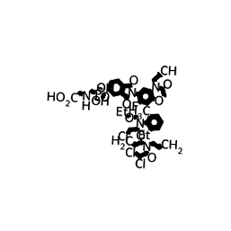 C#CCN1C(=O)COc2cc(F)c(N3C(=O)C4=C(CCCC4)C3=O)cc21.C=CCN(CC=C)C(=O)C(Cl)Cl.CCOCN(C(=O)CCl)c1c(C)cccc1CC.O=C(O)CNCP(=O)(O)O